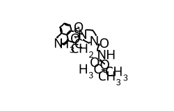 C=Cc1cncc2cccc(S(=O)(=O)N3CCCN(C(=O)CNC(=O)OC(C)(C)C)C[C@@H]3C)c12